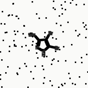 CC(C)(C)c1n[nH]c(Br)c1Br